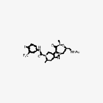 CC(=O)NCC1Cn2nc3c(c2C(=O)N(C)O1)CN(C(=O)Nc1ccc(F)c(C(F)(F)F)c1)C(C)C3